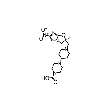 C[C@]1(CN2CCC(N3CCN(C(=O)O)CC3)CC2)Cn2cc([N+](=O)[O-])nc2O1